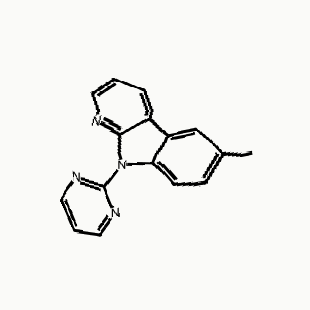 Cc1ccc2c(c1)c1cccnc1n2-c1ncccn1